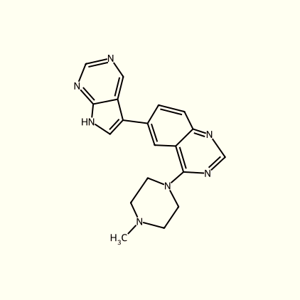 CN1CCN(c2ncnc3ccc(-c4c[nH]c5ncncc45)cc23)CC1